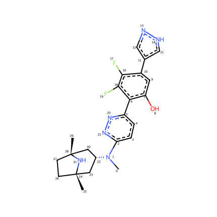 CN(c1ccc(-c2c(O)cc(-c3cn[nH]c3)c(F)c2F)nn1)[C@@H]1C[C@]2(C)CC[C@](C)(C1)N2